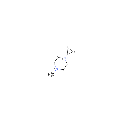 C1CC1.CN1CCNCC1